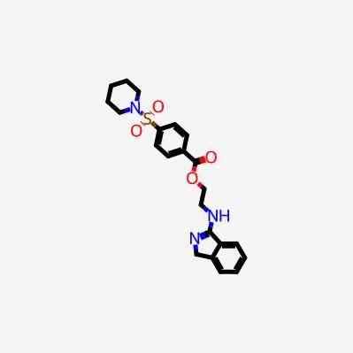 O=C(OCCNC1=NCc2ccccc21)c1ccc(S(=O)(=O)N2CCCCC2)cc1